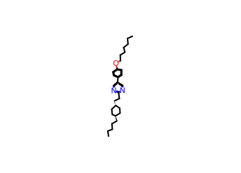 CCCCCCCOc1ccc(-c2cnc(CC[C@H]3CC[C@H](CCCCC)CC3)nc2)cc1